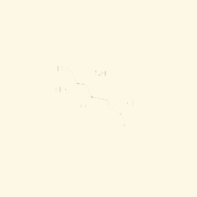 CC(C)OCC(=O)[C@@H](N)C(C)C